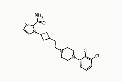 NC(=O)C1SC=CN1C1CC(CCN2CCN(c3cccc(Cl)c3Cl)CC2)C1